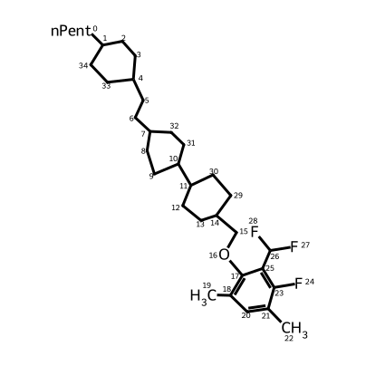 CCCCCC1CCC(CCC2CCC(C3CCC(COc4c(C)cc(C)c(F)c4C(F)F)CC3)CC2)CC1